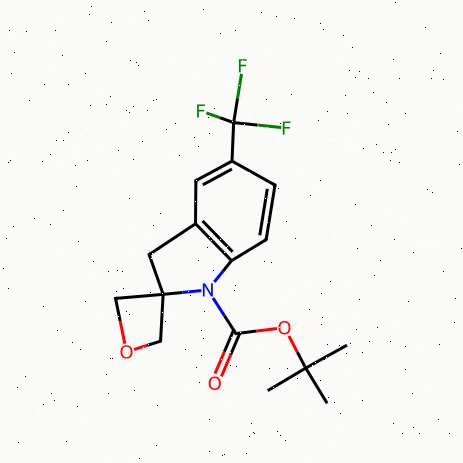 CC(C)(C)OC(=O)N1c2ccc(C(F)(F)F)cc2CC12COC2